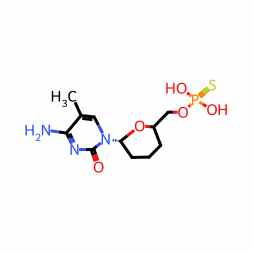 Cc1cn([C@H]2CCCC(COP(O)(O)=S)O2)c(=O)nc1N